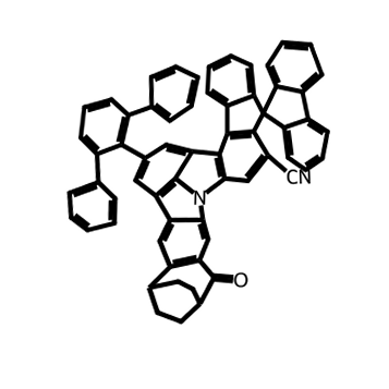 N#Cc1cc2c(c3c1C1(c4ccccc4-c4ccccc41)c1ccccc1-3)c1cc(-c3c(-c4ccccc4)cccc3-c3ccccc3)cc3c4cc5c(cc4n2c31)C(=O)C1CCC5CC1